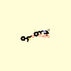 Cc1sc(COc2cc(F)c3c(c2)OCC(CN2C[C@H]4C[C@@]4(C(=O)O)C2)=C3)cc1-c1ccccc1